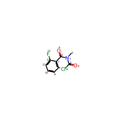 CN(C(=O)Cl)C(=O)c1ccccc1F